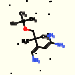 CC(C)(CO[Si](C)(C)C(C)(C)C)/C(C=C(N)N)=C/N